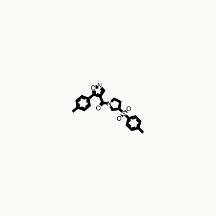 Cc1ccc(-c2oncc2C(=O)N2CCC(S(=O)(=O)c3ccc(C)cc3)C2)cc1